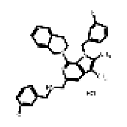 Cc1c(C)n(Cc2cccc(F)c2)c2c(N3CCc4ccccc4C3)nc(CNCc3cccc(Cl)c3)cc12.Cl